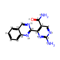 NC(=O)c1cnc(N)nc1-c1ncc2ccccc2n1